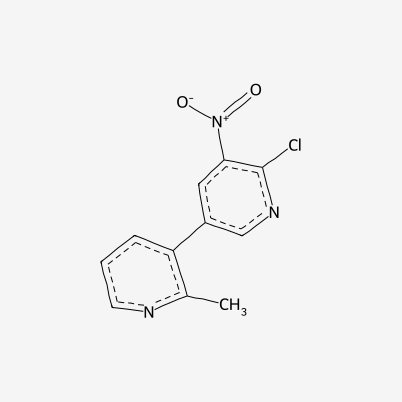 Cc1ncccc1-c1cnc(Cl)c([N+](=O)[O-])c1